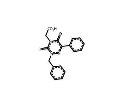 O=C(O)Cn1c(=O)c(-c2ccccc2)nn(Cc2ccccc2)c1=O